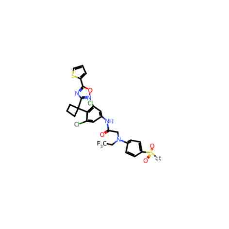 CCS(=O)(=O)c1ccc(N(CC(=O)Nc2cc(Cl)c(C3(c4noc(-c5cccs5)n4)CCC3)c(Cl)c2)CC(F)(F)F)cc1